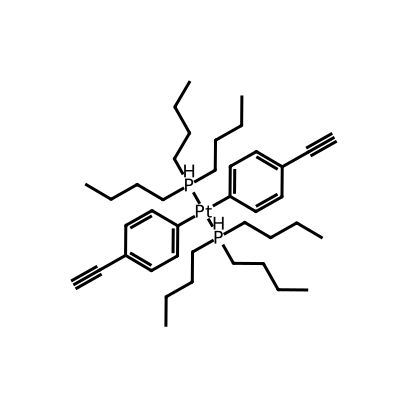 C#Cc1cc[c]([Pt]([c]2ccc(C#C)cc2)([PH](CCCC)(CCCC)CCCC)[PH](CCCC)(CCCC)CCCC)cc1